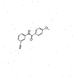 C#Cc1cccc(NC(=O)c2ccc(OC)cc2)c1